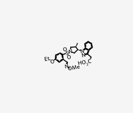 CCOc1ccc(S(=O)(=O)N2C[C@@H](C)[C@@H](n3nc(CC(=O)O)c4ccccc43)C2)c(C=NOC)c1